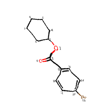 O=C(OC1CCCCC1)c1ccc(Br)cc1